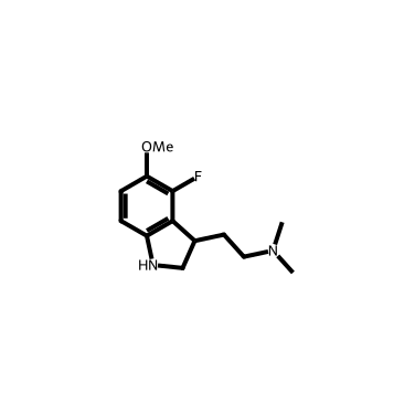 COc1ccc2c(c1F)C(CCN(C)C)CN2